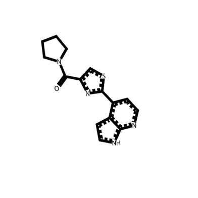 O=C(c1csc(-c2ccnc3[nH]ccc23)n1)N1CCCC1